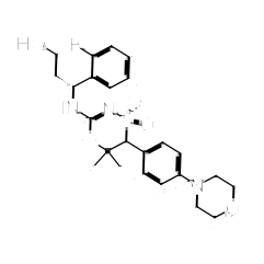 CC1(C)OC(N[C@@H](CCO)c2ccccc2F)=NS(=O)(=O)C1c1ccc(N2CCOCC2)cc1